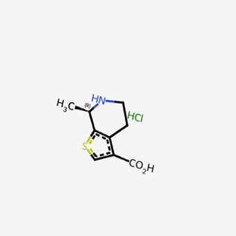 C[C@H]1NCCc2c(C(=O)O)csc21.Cl